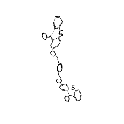 O=c1c2ccccc2sc2cc(OCCOCCOc3ccc4sc5ccccc5c(=O)c4c3)ccc12